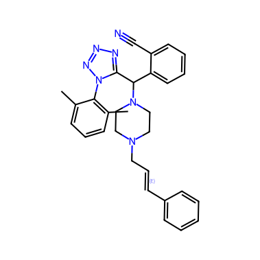 Cc1cccc(C)c1-n1nnnc1C(c1ccccc1C#N)N1CCN(C/C=C/c2ccccc2)CC1